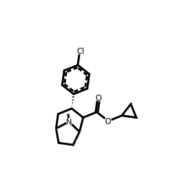 CN1C2CCC1C(C(=O)OC1CC1)[C@@H](c1ccc(Cl)cc1)C2